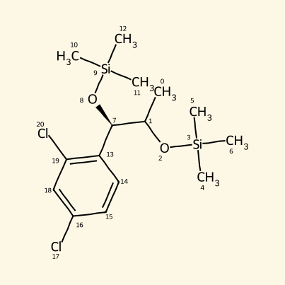 CC(O[Si](C)(C)C)[C@H](O[Si](C)(C)C)c1ccc(Cl)cc1Cl